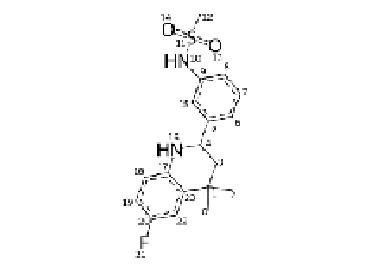 CC1(C)CC(c2cccc(NS(C)(=O)=O)c2)Nc2ccc(F)cc21